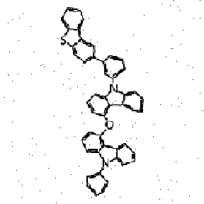 c1ccc(-n2c3ccccc3c3c(Oc4cccc5c4c4ccccc4n5-c4cccc(-c5ccc6sc7ccccc7c6c5)c4)cccc32)cc1